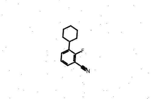 N#Cc1cccc(C2CCCCC2)c1F